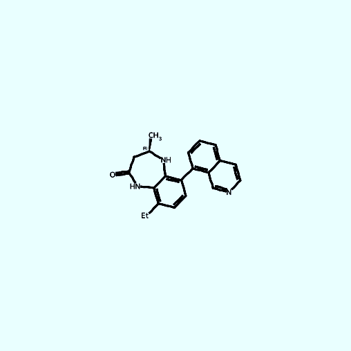 CCc1ccc(-c2cccc3ccncc23)c2c1NC(=O)C[C@@H](C)N2